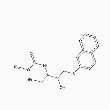 CC(C)CC(NC(=O)OC(C)(C)C)C(O)CSc1ccc2ccccc2c1